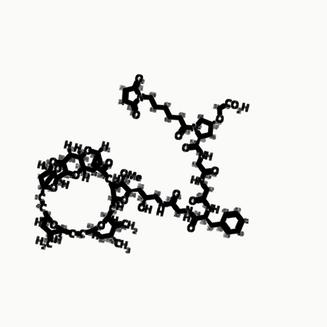 C=C1C[C@@H]2CC[C@@]34C[C@H]5OC6C(O[C@H]7CC[C@H](CC(=O)C[C@@H]8[C@@H](OC)[C@@H](C[C@H](O)CNC(=O)CNC(=O)[C@H](Cc9ccccc9)NC(=O)CNC(=O)CNC(=O)[C@@H]9C[C@@H](OCC(=O)O)CN9C(=O)CCCCCN9C(=O)C=CC9=O)O[C@H]8C[C@H]8O[C@@H](CC[C@@H]1O2)C[C@@H](C)C8=C)O[C@@H]7[C@@H]6O3)[C@H]5O4